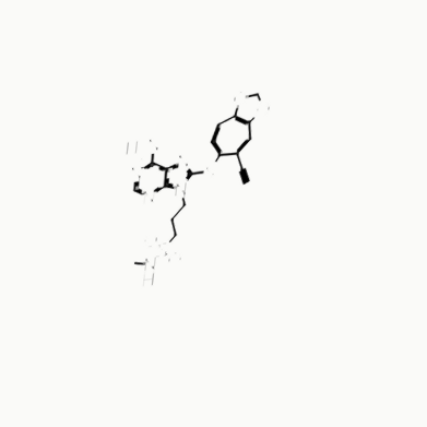 C#CC1=CC2=C(C=C=C1Sc1nc3c(N)ncnc3n1CCCS(=O)(=O)NC)OCO2